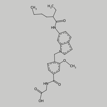 CCCCC(CC)C(=O)Nc1ccc2ccn(Cc3ccc(C(=O)NCC(=O)O)cc3OC)c2c1